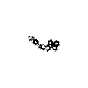 CC(C)S(=O)(=O)c1ccc(N2CC(CN3CCC(C4(C5CCCC5)NCCc5ccccc54)CC3)C2)cc1